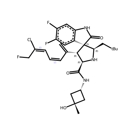 C=C(/C=C\C=C(\Cl)CF)[C@H]1[C@H](C(=O)N[C@H]2C[C@@](C)(O)C2)N[C@H](CC(C)(C)C)[C@]12C(=O)Nc1cc(F)c(F)cc12